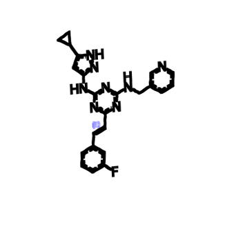 Fc1cccc(/C=C/c2nc(NCc3cccnc3)nc(Nc3cc(C4CC4)[nH]n3)n2)c1